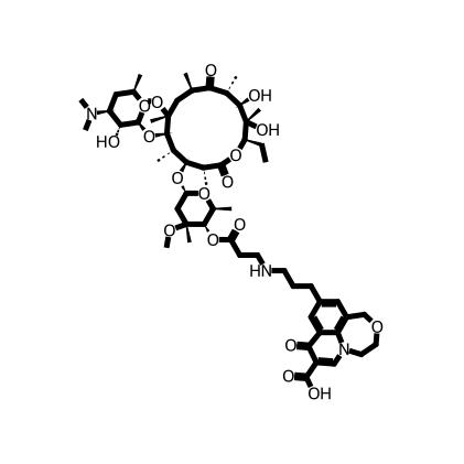 CC[C@H]1OC(=O)[C@H](C)[C@@H](O[C@H]2C[C@@](C)(OC)[C@@H](OC(=O)CCNCCCc3cc4c5c(c3)c(=O)c(C(=O)O)cn5CCOC4)[C@H](C)O2)[C@H](C)[C@@H](O[C@@H]2O[C@H](C)C[C@H](N(C)C)[C@H]2O)[C@](C)(OC)C[C@@H](C)C(=O)[C@H](C)[C@@H](O)[C@]1(C)O